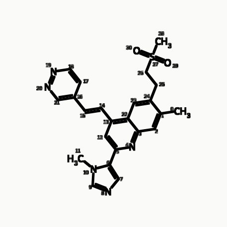 Cc1cc2nc(-c3cncn3C)cc(/C=C/c3ccnnc3)c2cc1CCS(C)(=O)=O